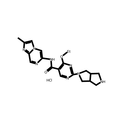 CCOc1nc(N2CC3CNCC3C2)ncc1C(=O)Nc1cn2cc(C)nc2cn1.Cl